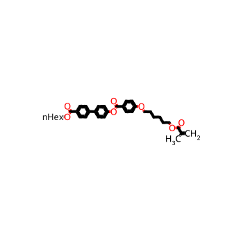 C=C(C)C(=O)OCCCCCCOc1ccc(C(=O)Oc2ccc(-c3ccc(C(=O)OCCCCCC)cc3)cc2)cc1